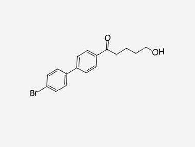 O=C(CCCCO)c1ccc(-c2ccc(Br)cc2)cc1